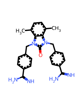 Cc1ccc(C)c2c1n(Cc1ccc(C(=N)N)cc1)c(=O)n2Cc1ccc(C(=N)N)cc1